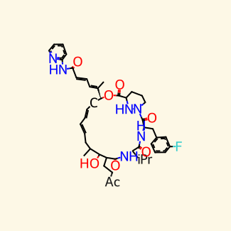 CC(=O)CCC1C(=O)NC(C(C)C)C(=O)NC(Cc2cccc(F)c2)C(=O)N2CCCC(N2)C(=O)O[C@H](/C(C)=C/C=C/C(=O)Nc2ccccn2)C/C=C/C=C/CC(C)C1O